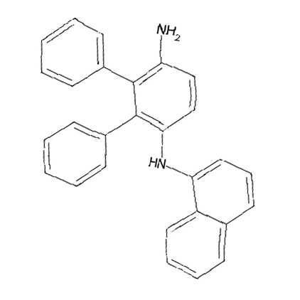 Nc1ccc(Nc2cccc3ccccc23)c(-c2ccccc2)c1-c1ccccc1